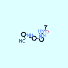 N#CCc1ccccc1NCc1ccc(-c2cccc3nc(NC(=O)C4CC4)nn23)cc1